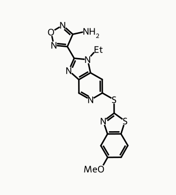 CCn1c(-c2nonc2N)nc2cnc(Sc3nc4cc(OC)ccc4s3)cc21